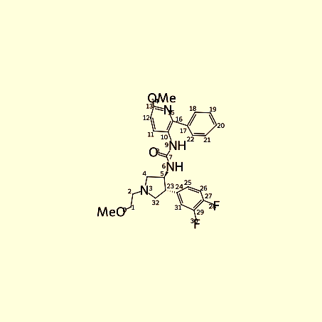 COCCN1C[C@@H](NC(=O)Nc2ccc(OC)nc2-c2ccccc2)[C@H](c2ccc(F)c(F)c2)C1